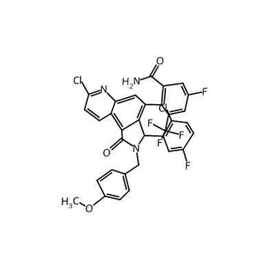 COc1ccc(CN2C(=O)c3c(c(-c4c(C(N)=O)cc(F)cc4C(F)(F)F)cc4nc(Cl)ccc34)C2c2cc(F)ccc2Cl)cc1